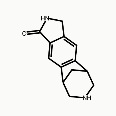 O=C1NCc2cc3c(cc21)C1CNCC3C1